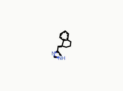 C(=C1/CCCc2ccccc21)/c1c[nH]cn1